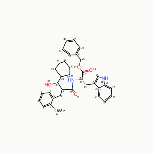 COc1ccccc1CC(C(=O)N[C@@H](Cc1c[nH]c2ccccc12)C(=O)OCc1ccccc1)C(O)C1CCCCC1